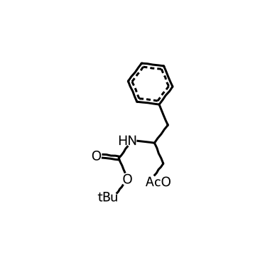 CC(=O)OCC(Cc1ccccc1)NC(=O)OC(C)(C)C